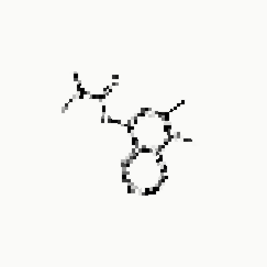 Cc1cc(OC(=O)N(C)C)c2ccccc2[n+]1[O-]